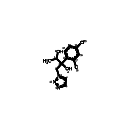 CC(O)C(O)(Cn1ccnn1)c1ccc(Cl)cc1Cl